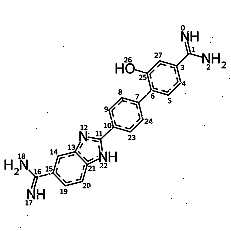 N=C(N)c1ccc(-c2ccc(-c3nc4cc(C(=N)N)ccc4[nH]3)cc2)c(O)c1